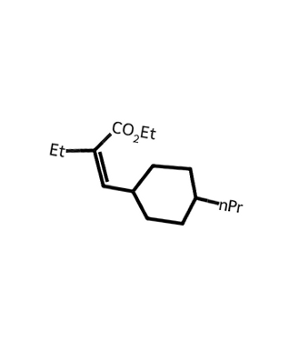 CCCC1CCC(/C=C(/CC)C(=O)OCC)CC1